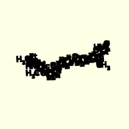 CCN(C)S(=O)(=O)Nc1ccc(F)c(Oc2ccc3ncn(C4CCC5(CCN(C(=O)CC6CCN(c7ccc8c(C9CCC(=O)NC9=O)nn(C)c8c7)CC6)CC5)C4)c(=O)c3c2)c1C